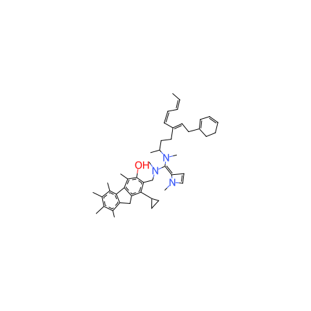 C\C=C/C=C\C(=C\CC1=CC=CCC1)CCC(C)N(C)/C(=C1\C=CN1C)N(C)Cc1c(O)c(C)c2c(c1C1CC1)Cc1c(C)c(C)c(C)c(C)c1-2